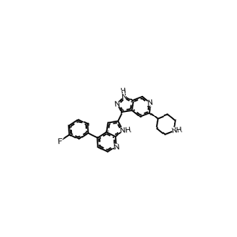 Fc1cccc(-c2ccnc3[nH]c(-c4n[nH]c5cnc(C6CCNCC6)cc45)cc23)c1